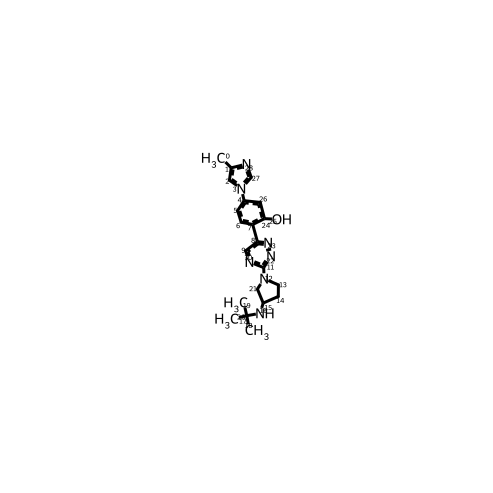 Cc1cn(-c2ccc(-c3cnc(N4CCC(NC(C)(C)C)C4)nn3)c(O)c2)cn1